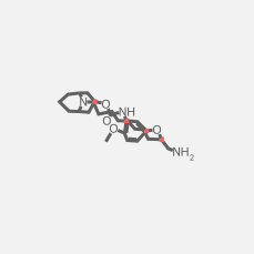 COc1ccc(OC)c(NC(=O)OC2CC3CCCC(C2)N3CCCCCCCCCCN)c1